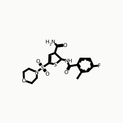 Cc1cc(F)ccc1C(=O)NC1SC(S(=O)(=O)N2CCOCC2)=CC1C(N)=O